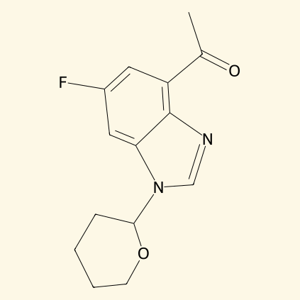 CC(=O)c1cc(F)cc2c1ncn2C1CCCCO1